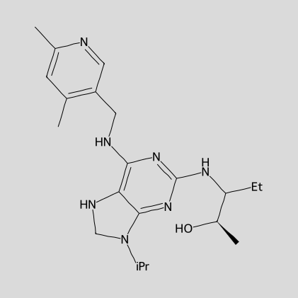 CCC(Nc1nc(NCc2cnc(C)cc2C)c2c(n1)N(C(C)C)CN2)[C@@H](C)O